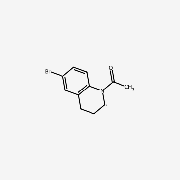 CC(=O)N1[C]CCc2cc(Br)ccc21